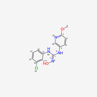 COc1ccc(N/C(=N/O)Nc2cccc(Cl)c2)cn1